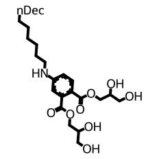 CCCCCCCCCCCCCCCCNc1ccc(C(=O)OCC(O)CO)c(C(=O)OCC(O)CO)c1